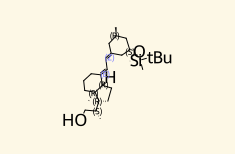 C[C@@H]1C/C(=C/C=C2\CCC[C@]3(C)[C@@H]([C@H](C)CO)CC[C@@H]23)C[C@@H](O[Si](C)(C)C(C)(C)C)C1